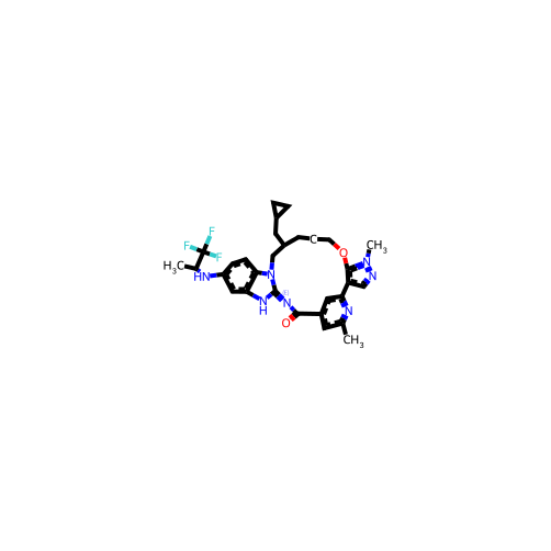 Cc1cc2cc(n1)-c1cnn(C)c1OCCCC(CC1CC1)CN1/C(=N/C2=O)Nc2cc(NC(C)C(F)(F)F)ccc21